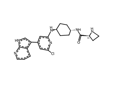 O=C(N[C@H]1CC[C@H](Nc2cc(-c3c[nH]c4ncccc34)cc(Cl)n2)CC1)[C@@H]1CCN1